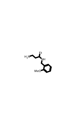 CCC(CCN)NCc1ccccc1OC